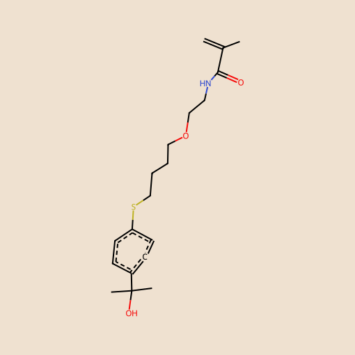 C=C(C)C(=O)NCCOCCCCSc1ccc(C(C)(C)O)cc1